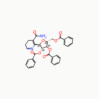 NC(=O)C1=C([C@H]2O[C@H](COC(=O)c3ccccc3)[C@@H](OC(=O)c3ccccc3)[C@@H]2OC(=O)c2ccccc2)N=CCC1